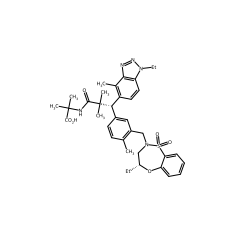 CC[C@@H]1CN(Cc2cc([C@@H](c3ccc4c(nnn4CC)c3C)C(C)(C)C(=O)NC(C)(C)C(=O)O)ccc2C)S(=O)(=O)c2ccccc2O1